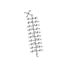 CC(C)(C)CC(F)(F)C(F)(F)C(F)(F)C(F)(F)C(F)(F)C(F)(F)C(F)(F)C(F)(F)C(F)(F)C(F)(F)F